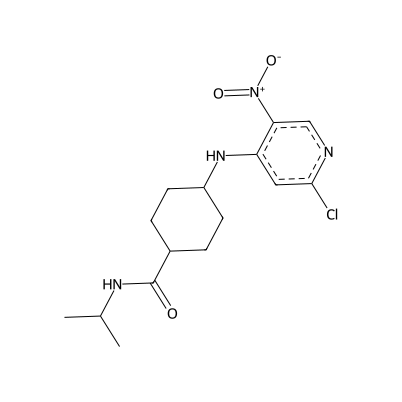 CC(C)NC(=O)C1CCC(Nc2cc(Cl)ncc2[N+](=O)[O-])CC1